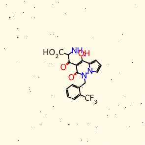 NC(C(=O)O)C(=O)c1c(O)c2cccn2n(Cc2ccccc2C(F)(F)F)c1=O